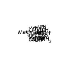 COc1ccc(CNCCC#N)cc1-c1ccc(O)c2c1C[C@@H]1C[C@@H]3[C@@H](N(C)C)C(O)=C(C(N)=O)C(=O)[C@]3(O)C(O)=C1C2=O